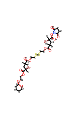 CC(C)(CC(C)(Br)C(=O)OCCOC1CCCCO1)C(=O)OCCSSCCOC(=O)C(C)(C)CC(C)(Br)C(=O)ON1C(=O)CCC1=O